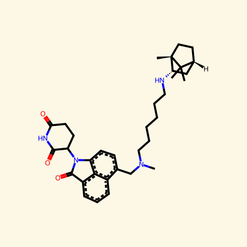 CN(CCCCCCN[C@H]1C[C@H]2CC[C@]1(C)C2(C)C)Cc1ccc2c3c(cccc13)C(=O)N2C1CCC(=O)NC1=O